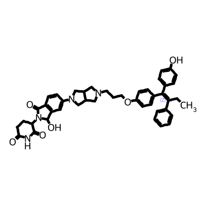 CC/C(=C(\c1ccc(O)cc1)c1ccc(OCCCN2CC3CN(c4ccc5c(c4)C(O)N(C4CCC(=O)NC4=O)C5=O)CC3C2)cc1)c1ccccc1